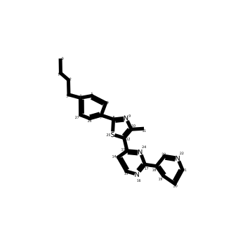 CCCCc1ccc(-c2nc(C)c(-c3ccnc(-c4cccnc4)n3)s2)cc1